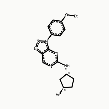 CCOc1ccc(-n2nnc3cnc(N[C@@H]4CC[C@@H](C(C)=O)C4)nc32)cc1